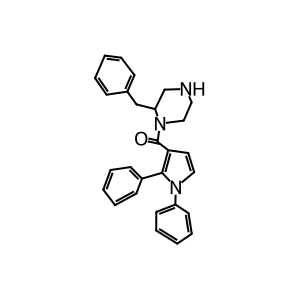 O=C(c1ccn(-c2ccccc2)c1-c1ccccc1)N1CCNCC1Cc1ccccc1